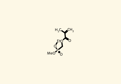 C=C(C)C(=O)OCP(=O)(OC)OCC